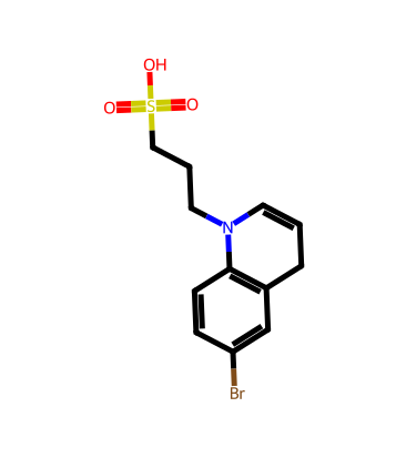 O=S(=O)(O)CCCN1C=CCc2cc(Br)ccc21